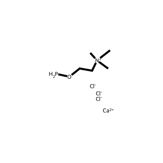 C[N+](C)(C)CCOP.[Ca+2].[Cl-].[Cl-].[Cl-]